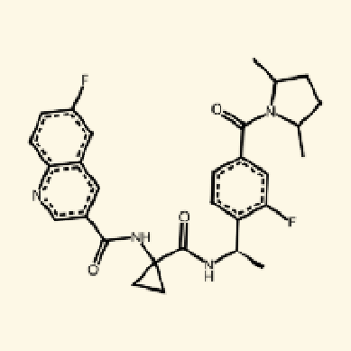 CC1CCC(C)N1C(=O)c1ccc([C@@H](C)NC(=O)C2(NC(=O)c3cnc4ccc(F)cc4c3)CC2)c(F)c1